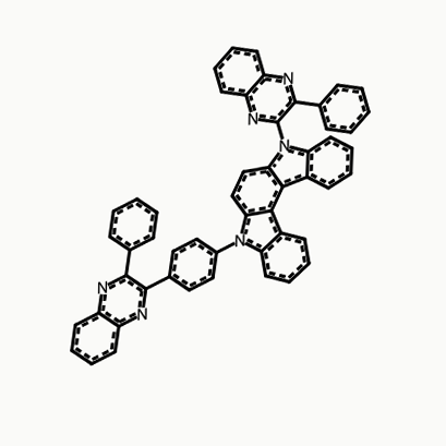 c1ccc(-c2nc3ccccc3nc2-c2ccc(-n3c4ccccc4c4c5c6ccccc6n(-c6nc7ccccc7nc6-c6ccccc6)c5ccc43)cc2)cc1